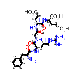 N=C(N)NCCC[C@H](NC(=O)[C@@H](N)Cc1ccccc1)C(=O)NCC(=O)N[C@@H](CCC(=O)O)C(=O)N[C@@H](CCC(=O)O)C(=O)O